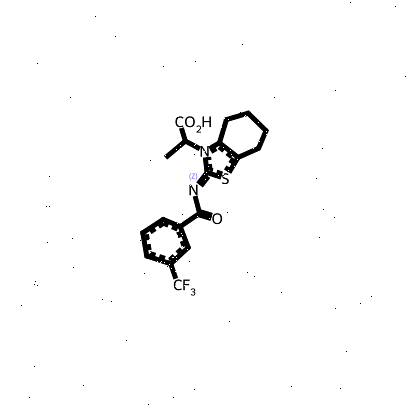 CC(C(=O)O)n1c2c(s/c1=N\C(=O)c1cccc(C(F)(F)F)c1)CCCC2